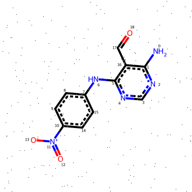 Nc1ncnc(Nc2ccc([N+](=O)[O-])cc2)c1C=O